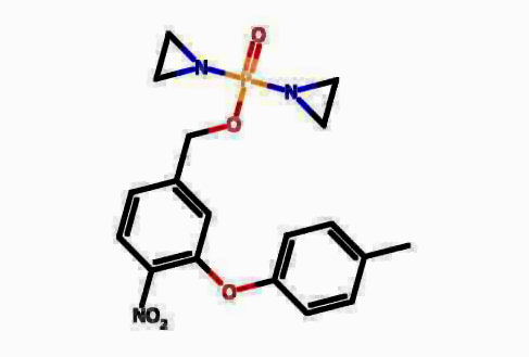 Cc1ccc(Oc2cc(COP(=O)(N3CC3)N3CC3)ccc2[N+](=O)[O-])cc1